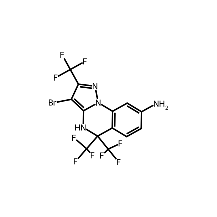 Nc1ccc2c(c1)-n1nc(C(F)(F)F)c(Br)c1NC2(C(F)(F)F)C(F)(F)F